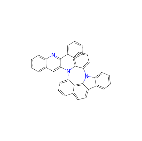 c1ccc(-c2nc3ccccc3cc2-n2c3cccc4ccc5c6ccccc6n(c6ccccc62)c5c43)cc1